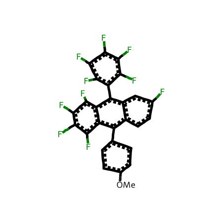 COc1ccc(-c2c3ccc(F)cc3c(-c3c(F)c(F)c(F)c(F)c3F)c3c(F)c(F)c(F)c(F)c23)cc1